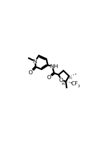 C[C@H]1CC(C(=O)Nc2ccn(C)c(=O)c2)O[C@@]1(C)C(F)(F)F